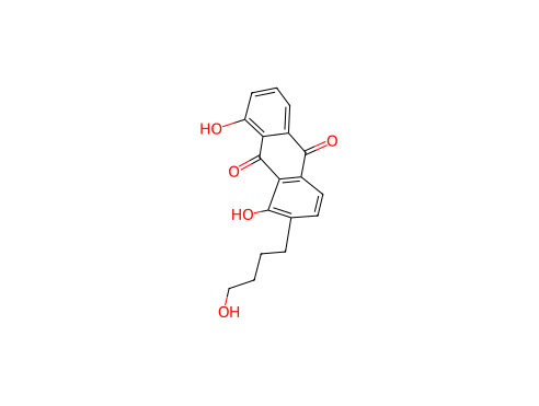 O=C1c2cccc(O)c2C(=O)c2c1ccc(CCCCO)c2O